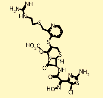 N=C(N)NCCSCc1ncccc1SC1=C(OC(=O)O)N2C(=O)[C@@H](NC(=O)/C(=N\O)c3nc(N)sc3Cl)[C@@H]2SC1